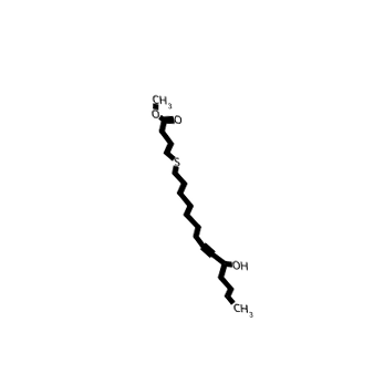 CCCCC(O)C#CCCCCCCCSCCCC(=O)OC